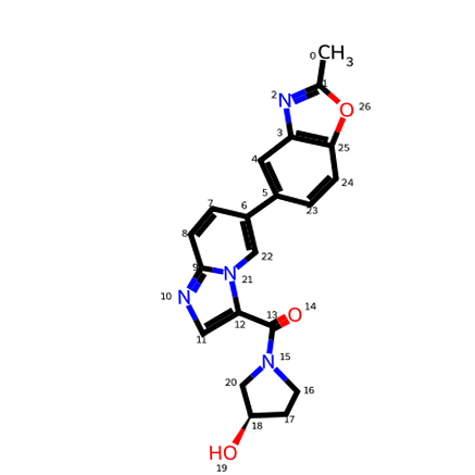 Cc1nc2cc(-c3ccc4ncc(C(=O)N5CC[C@@H](O)C5)n4c3)ccc2o1